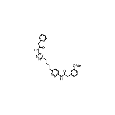 COc1cccc(CC(=O)Nc2ccc(CCCCc3nnc(NC(=O)Cc4ccccc4)s3)nn2)c1